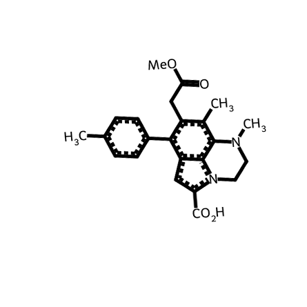 COC(=O)Cc1c(C)c2c3c(cc(C(=O)O)n3CCN2C)c1-c1ccc(C)cc1